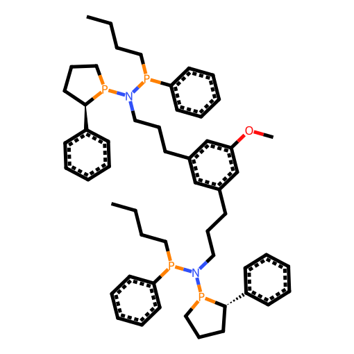 CCCCP(c1ccccc1)N(CCCc1cc(CCCN(P(CCCC)c2ccccc2)P2CCC[C@H]2c2ccccc2)cc(OC)c1)P1CCC[C@@H]1c1ccccc1